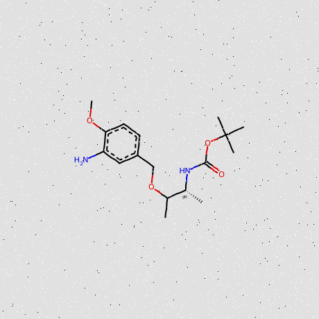 COc1ccc(COC(C)[C@@H](C)NC(=O)OC(C)(C)C)cc1N